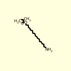 CC=C(C)C(=O)OCCCCCCCCCCCCCCCCCCN